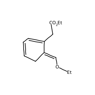 CCOC=C1CC=CC=C1CC(=O)OCC